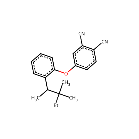 CCC(C)(C)C(C)c1ccccc1Oc1ccc(C#N)c(C#N)c1